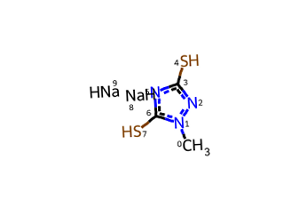 Cn1nc(S)nc1S.[NaH].[NaH]